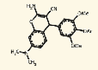 COc1cc(C2C(C#N)=C(N)Oc3cc(N(C)C)ccc32)cc(OC)c1OC(C)=O